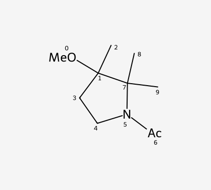 COC1(C)CCN(C(C)=O)C1(C)C